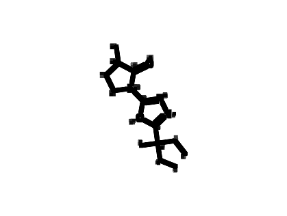 CCC(C)(CC)c1nnc(N2CCC(C)C2=O)o1